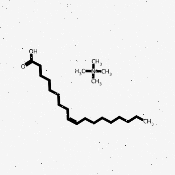 CCCCCCCC/C=C\CCCCCCCC(=O)O.C[N+](C)(C)C